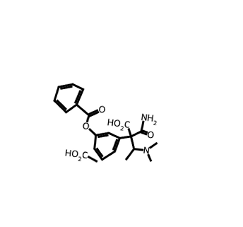 CC(=O)O.CC(N(C)C)C(C(N)=O)(C(=O)O)c1cccc(OC(=O)c2ccccc2)c1